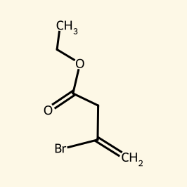 C=C(Br)CC(=O)OCC